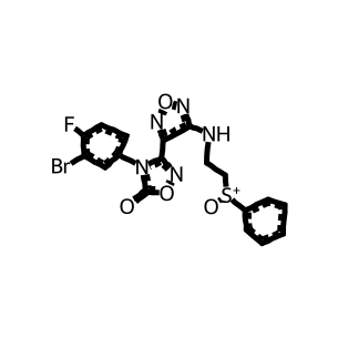 O=c1onc(-c2nonc2NCC[S+]([O-])c2ccccc2)n1-c1ccc(F)c(Br)c1